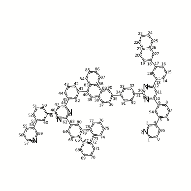 c1cncc(-c2cccc(-c3cc(-c4cccc(-c5ccc6ccccc6c5)c4)nc(-c4ccc(-c5ccc6cc(-c7cccc(-c8cc(-c9cccc(-c%10cccnc%10)c9)nc(-c9ccc%10c%11ccccc%11c%11ccccc%11c%10c9)n8)c7)c7ccccc7c6c5)cc4)n3)c2)c1